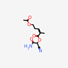 CC(=O)OCCC=C(C)C(=O)OC(C#N)C(N)=O